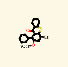 CCCCCCCCOc1cc(CC)c2sc3ccccc3c(=O)c2c1-c1ccccc1